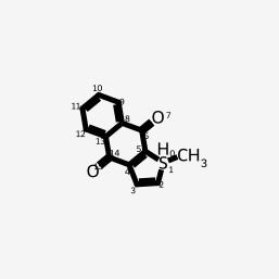 C[SH]1C=CC2=C1C(=O)c1ccccc1C2=O